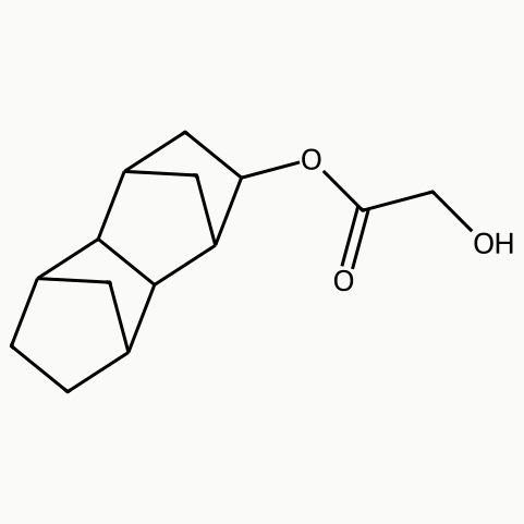 O=C(CO)OC1CC2CC1C1C3CCC(C3)C21